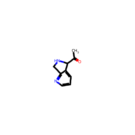 CC(=O)C1NCc2ncccc21